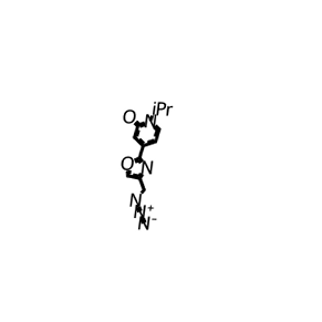 CC(C)n1ccc(-c2nc(CN=[N+]=[N-])co2)cc1=O